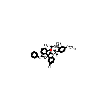 COc1ccc(S(=O)(=O)N2C(=O)C(OC(=O)Oc3ccccc3)(c3ccccc3OC(C)C)c3cc(Cl)ccc32)c(OC)c1